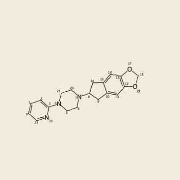 c1ccc(N2CCN(C3Cc4cc5c(cc4C3)OCO5)CC2)nc1